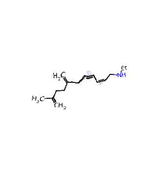 C=C(C)CCC(=C)C/C=C\C=C/CNCC